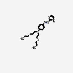 C[n+]1ccsc1/N=N/c1ccc(N(CCOCCO)CCOCCO)cc1